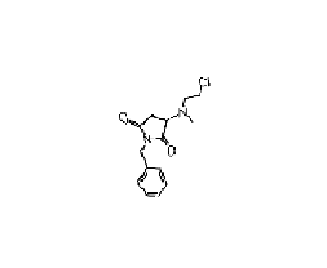 CN(CCCl)C1CC(=O)N(Cc2ccccc2)C1=O